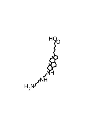 CC12CCC(NCCCNCCCCN)C=C1CCC1C2CCC2(C)C(CCCCCC(=O)O)CCC12